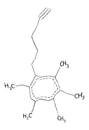 [C]#CCCCc1c(C)c(C)c(C)c(C)c1C